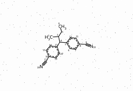 CCC(C)C(c1ccc(C#N)cc1)c1ccc(C#N)cc1